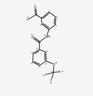 O=C(Cl)c1cccc(NC(=O)c2cccc(OC(F)(F)F)c2)c1